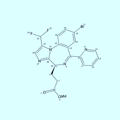 COC(=O)CC[C@@H]1N=C(c2ccccn2)c2cc(Br)ccc2-n2c(C(F)F)cnc21